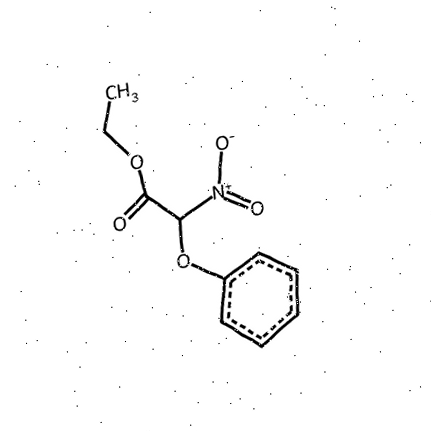 CCOC(=O)C(Oc1ccccc1)[N+](=O)[O-]